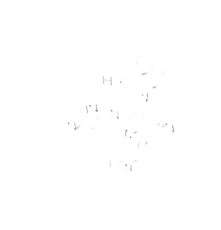 CCc1cccc2cccc(N3CCc4c(N5CCN[C@H](CC#N)C5)nc(OC[C@@H]5CCCN5C)c(C#N)c4C3)c12